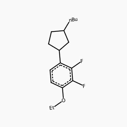 CCCCC1CCC(c2ccc(OCC)c(F)c2F)C1